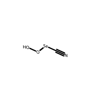 N#C[Se]OO